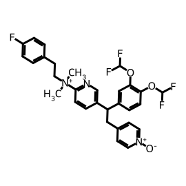 C[N+](C)(CCc1ccc(F)cc1)c1ccc(C(Cc2cc[n+]([O-])cc2)c2ccc(OC(F)F)c(OC(F)F)c2)cn1